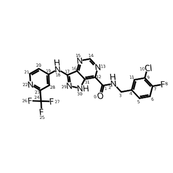 O=C(NCc1ccc(F)c(Cl)c1)c1ncnc2c(Nc3ccnc(C(F)(F)F)c3)n[nH]c12